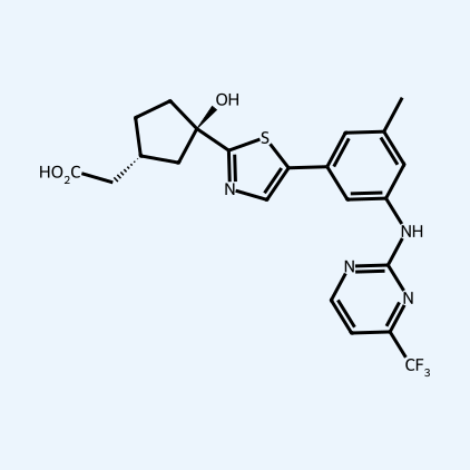 Cc1cc(Nc2nccc(C(F)(F)F)n2)cc(-c2cnc([C@@]3(O)CC[C@@H](CC(=O)O)C3)s2)c1